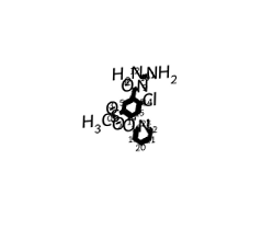 CS(=O)(=O)c1cc(C(=O)N=C(N)N)c(Cl)cc1Oc1ccccn1